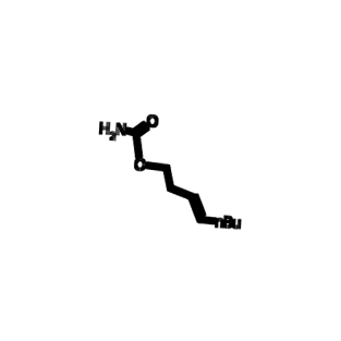 CCCCC=CCCOC(N)=O